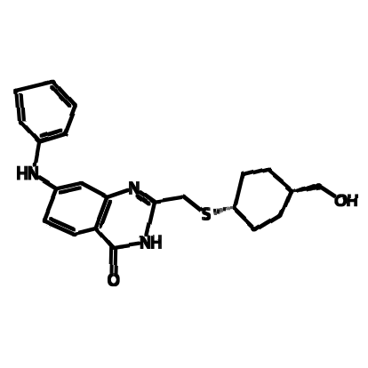 O=c1[nH]c(CS[C@H]2CC[C@H](CO)CC2)nc2cc(Nc3ccccc3)ccc12